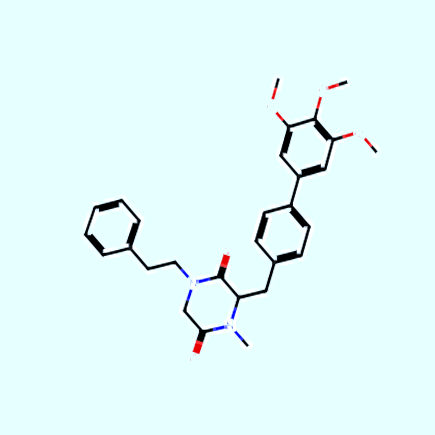 COc1cc(-c2ccc(CC3C(=O)N(CCc4ccccc4)CC(=O)N3C)cc2)cc(OC)c1OC